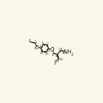 CCOc1ccc(OC/C(=C\F)CN)cc1